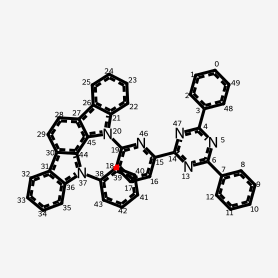 c1ccc(-c2nc(-c3ccccc3)nc(-c3cccc(-n4c5ccccc5c5ccc6c7ccccc7n(-c7ccccc7)c6c54)n3)n2)cc1